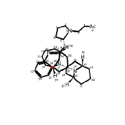 CC(=O)CCN1CCC[C@H]1Cc1nc2ccccc2n1[C@H]1C[C@H]2CCC[C@@H](C1)N2[C@@H]1C[C@@H]2CCCC[C@@H](C2)C1